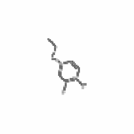 CCSc1ccc(F)c(F)c1